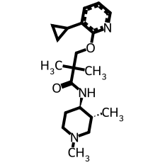 C[C@@H]1CN(C)CC[C@H]1NC(=O)C(C)(C)COc1ncccc1C1CC1